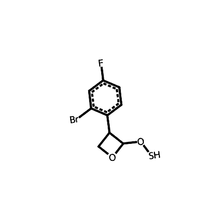 Fc1ccc(C2COC2OS)c(Br)c1